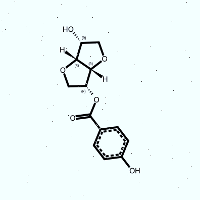 O=C(O[C@@H]1CO[C@H]2[C@@H]1OC[C@H]2O)c1ccc(O)cc1